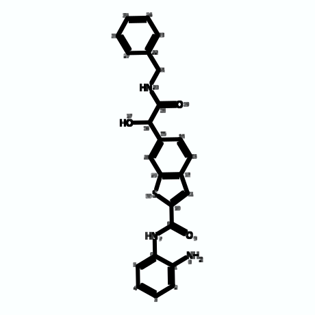 Nc1ccccc1NC(=O)c1cc2ccc(C(O)C(=O)NCc3ccccc3)cc2s1